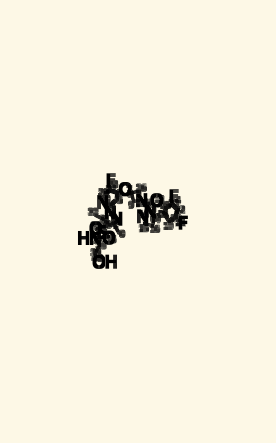 Cc1nn(-c2cc(OC3CN(C(=O)N4N=CC[C@H]4c4cc(F)cc(F)c4)C3)c(F)cn2)c(C)c1S(=O)(=O)NCCO